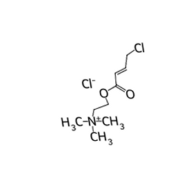 C[N+](C)(C)CCOC(=O)C=CCCl.[Cl-]